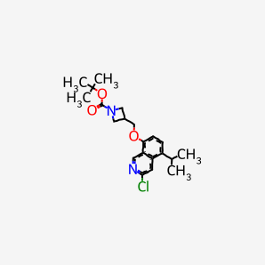 CC(C)c1ccc(OCC2CN(C(=O)OC(C)(C)C)C2)c2cnc(Cl)cc12